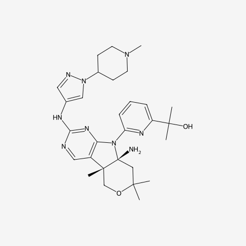 CN1CCC(n2cc(Nc3ncc4c(n3)N(c3cccc(C(C)(C)O)n3)[C@]3(N)CC(C)(C)OC[C@]43C)cn2)CC1